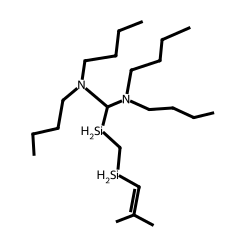 CCCCN(CCCC)C([SiH2]C[SiH2]C=C(C)C)N(CCCC)CCCC